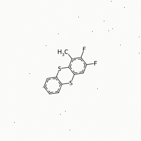 Cc1c(F)c(F)cc2c1Sc1ccccc1S2